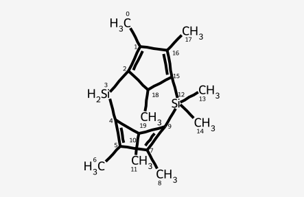 CC1=C2[SiH2]C3=C(C)C(C)=C(C3C)[Si](C)(C)C(=C1C)C2C